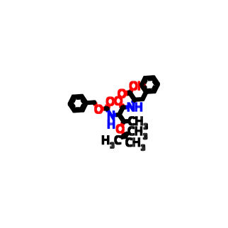 CC(OC(C)(C)C)C(NC(=O)OCc1ccccc1)C(=O)NC(Cc1ccccc1)C(=O)O